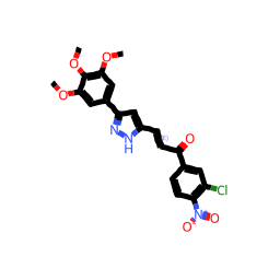 COc1cc(-c2cc(/C=C/C(=O)c3ccc([N+](=O)[O-])c(Cl)c3)[nH]n2)cc(OC)c1OC